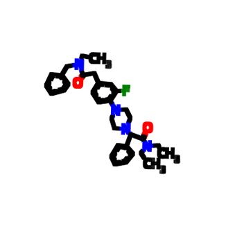 CCN(Cc1ccccc1)C(=O)Cc1ccc(N2CCN(C(C(=O)N(CC)CC)c3ccccc3)CC2)c(F)c1